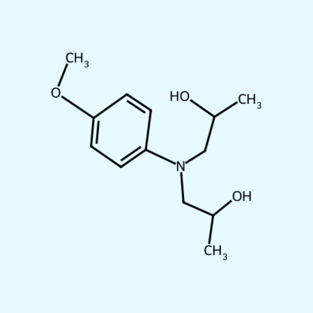 COc1ccc(N(CC(C)O)CC(C)O)cc1